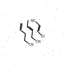 C=CCCC#N.CC=CCC#N.CCC=CC#N